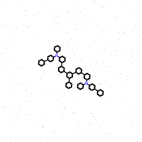 c1ccc(-c2ccc(N(c3ccccc3)c3cccc(-c4cccc(-c5cc(-c6ccccc6)cc(-c6cccc(-c7cccc(N(c8ccccc8)c8ccc(-c9ccccc9)cc8)c7)c6)c5)c4)c3)cc2)cc1